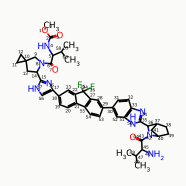 COC(=O)NC(C(=O)N1CC2(CC2)CC1c1nc(-c2ccc3c(c2)C(F)(F)c2cc(-c4ccc5nc(C6C7CCC(C7)N6C(=O)C(N)C(C)C)[nH]c5c4)ccc2-3)c[nH]1)C(C)C